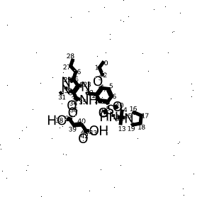 CCCOc1ccc(S(=O)(=O)NC(C)(C)N2CCCC2)cc1-c1nc2c(CCC)nn(C)c2c(=O)[nH]1.O=C(O)C=CC(=O)O